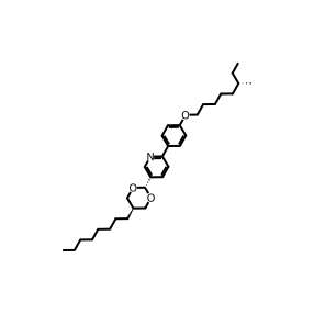 CCCCCCCC[C@H]1CO[C@H](c2ccc(-c3ccc(OCCCCC[C@@H](C)CC)cc3)nc2)OC1